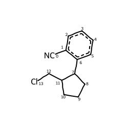 N#Cc1ccccc1C1CCCC1CCl